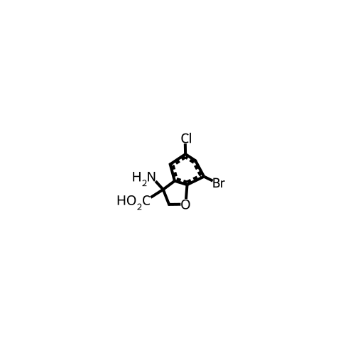 NC1(C(=O)O)COc2c(Br)cc(Cl)cc21